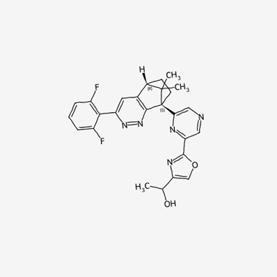 CC(O)c1coc(-c2cncc([C@@]34CC[C@@H](c5cc(-c6c(F)cccc6F)nnc53)C4(C)C)n2)n1